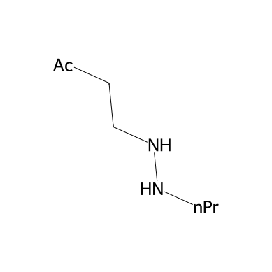 CCCNNCCC(C)=O